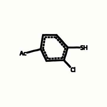 CC(=O)c1ccc(S)c(Cl)c1